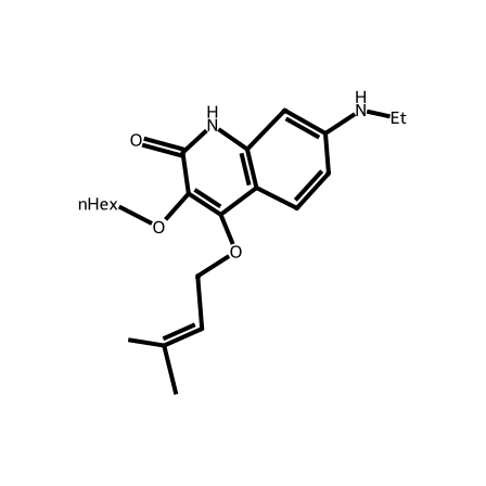 CCCCCCOc1c(OCC=C(C)C)c2ccc(NCC)cc2[nH]c1=O